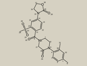 Cc1ccc(N2CCN(C(=O)c3ccc(N4CCOC4=O)cc3S(C)(=O)=O)CC2=O)c(C)c1